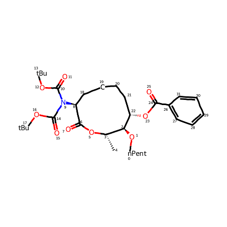 CCCCCO[C@H]1[C@H](C)OC(=O)[C@@H](N(C(=O)OC(C)(C)C)C(=O)OC(C)(C)C)CCCC[C@@H]1OC(=O)c1ccccc1